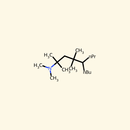 CCCCC(CCC)C(C)(C)CC(C)(C)N(C)C